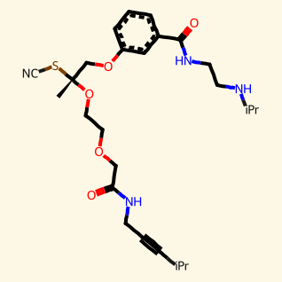 CC(C)C#CCNC(=O)COCCO[C@@](C)(COc1cccc(C(=O)NCCNC(C)C)c1)SC#N